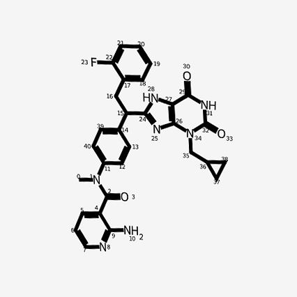 CN(C(=O)c1cccnc1N)c1ccc(C(Cc2ccccc2F)c2nc3c([nH]2)c(=O)[nH]c(=O)n3CC2CC2)cc1